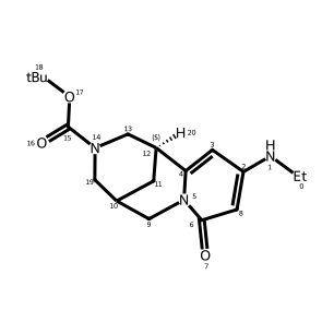 CCNc1cc2n(c(=O)c1)CC1C[C@H]2CN(C(=O)OC(C)(C)C)C1